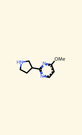 COc1ccnc(C2CCNC2)n1